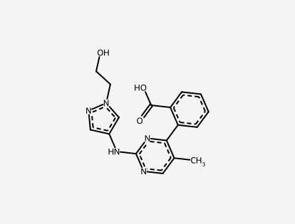 Cc1cnc(Nc2cnn(CCO)c2)nc1-c1ccccc1C(=O)O